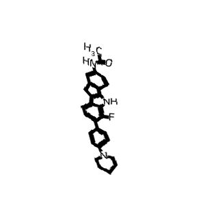 CC(=O)Nc1ccc2c(c1)Cc1c-2[nH]c2c(F)c(-c3ccc(N4CCCCC4)cc3)ccc12